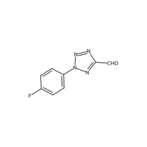 O=Cc1nnn(-c2ccc(F)cc2)n1